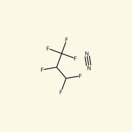 FC(F)C(F)C(F)(F)F.N#N